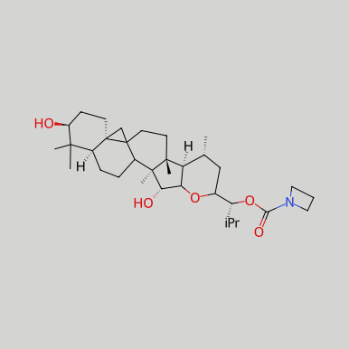 CC(C)[C@@H](OC(=O)N1CCC1)C1C[C@@H](C)[C@H]2C(O1)[C@H](O)[C@@]1(C)C3CC[C@H]4C(C)(C)[C@@H](O)CC[C@@]45CC35CC[C@]21C